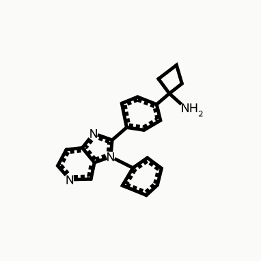 NC1(c2ccc(-c3nc4ccncc4n3-c3ccccc3)cc2)CCC1